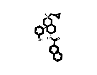 C[N@+]1(CC2CC2)CC[C@@]2(c3cccc(O)c3)C[C@@H](NC(=O)c3ccc4ccccc4c3)CCC2C1